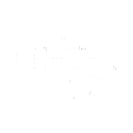 CN(C)c1ccc(/C=C(\C(N)=O)c2nc3ccccc3s2)c(C(F)(F)F)c1